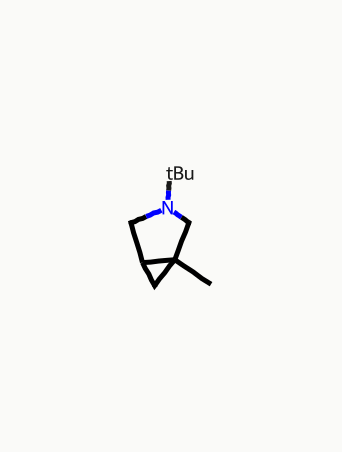 CC12CC1CN(C(C)(C)C)C2